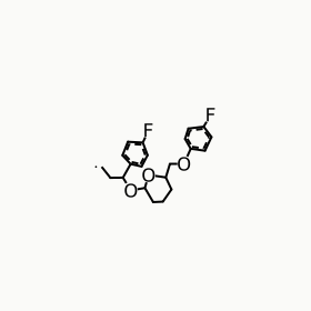 [CH2]CC(OC1CCCC(COc2ccc(F)cc2)O1)c1ccc(F)cc1